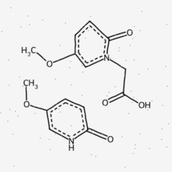 COc1ccc(=O)[nH]c1.COc1ccc(=O)n(CC(=O)O)c1